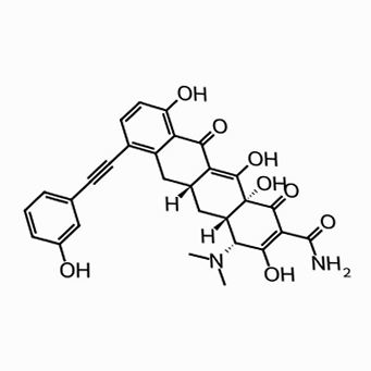 CN(C)[C@H]1C(O)=C(C(N)=O)C(=O)[C@]2(O)C(O)=C3C(=O)c4c(O)ccc(C#Cc5cccc(O)c5)c4C[C@H]3C[C@@H]12